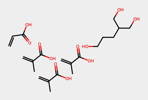 C=C(C)C(=O)O.C=C(C)C(=O)O.C=C(C)C(=O)O.C=CC(=O)O.OCCCC(CO)CO